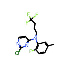 Cc1ccc(F)c(N(CCCC(F)(F)F)c2ccnc(Cl)n2)c1